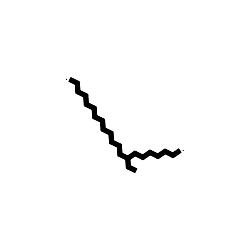 [CH2]CCCCCCCCCCCCC(CC)CCCCCC[CH2]